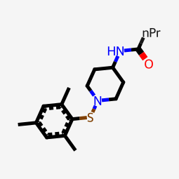 CCCC(=O)NC1CCN(Sc2c(C)cc(C)cc2C)CC1